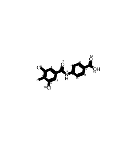 Cc1c(Cl)cc(C(=O)Nc2ccc(C(=O)O)cc2)cc1Cl